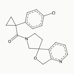 O=C(N1CCC2(C1)OCc1ncccc12)C1(c2ccc(Cl)cc2)CC1